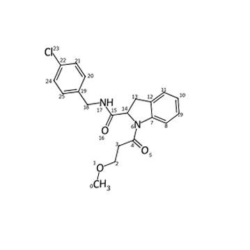 COCCC(=O)N1c2c[c]ccc2CC1C(=O)NCc1ccc(Cl)cc1